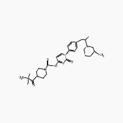 CC(Cc1ccc(-n2ccc(NC(=O)N3CCN(C(=O)C(C)(C)N)CC3)nc2=O)cc1)N1CCCC(N)C1